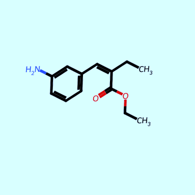 CCOC(=O)C(=Cc1cccc(N)c1)CC